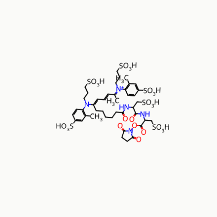 CC(/C=C/C=C(\CCCCCC(=O)NC(CS(=O)(=O)O)C(=O)NC(CS(=O)(=O)O)C(=O)ON1C(=O)CCC1=O)N(CCCS(=O)(=O)O)c1ccc(S(=O)(=O)O)cc1C)=[N+](/CCCS(=O)(=O)O)c1ccc(S(=O)(=O)O)cc1C